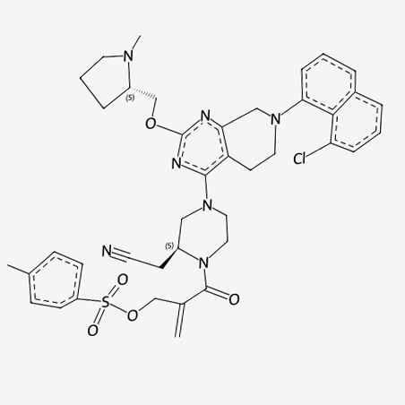 C=C(COS(=O)(=O)c1ccc(C)cc1)C(=O)N1CCN(c2nc(OC[C@@H]3CCCN3C)nc3c2CCN(c2cccc4cccc(Cl)c24)C3)C[C@@H]1CC#N